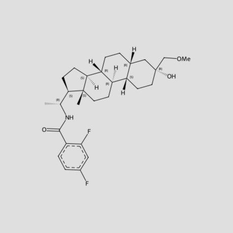 COC[C@@]1(O)CC[C@H]2[C@H](CC[C@@H]3[C@@H]2CC[C@]2(C)[C@@H]([C@@H](C)NC(=O)c4ccc(F)cc4F)CC[C@@H]32)C1